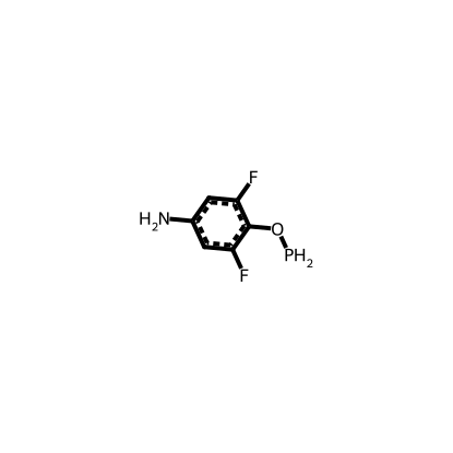 Nc1cc(F)c(OP)c(F)c1